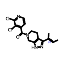 C/C=C(\C)c1n[nH]c2c1CCN(C(=O)c1ccnc(Cl)c1Cl)C2